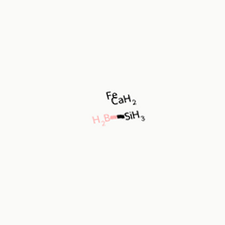 B[SiH3].[CaH2].[Fe]